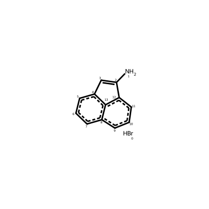 Br.NC1=Cc2cccc3cccc1c23